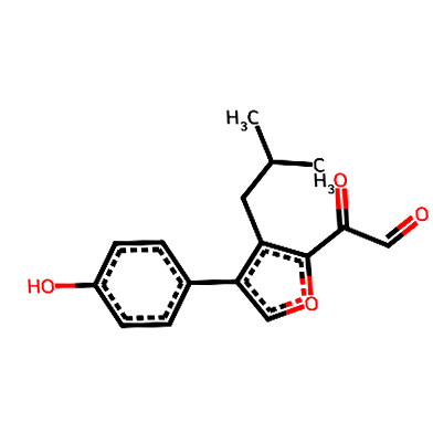 CC(C)Cc1c(-c2ccc(O)cc2)coc1C(=O)C=O